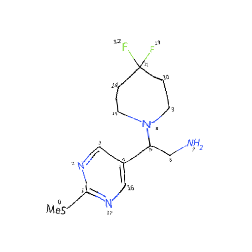 CSc1ncc(C(CN)N2CCC(F)(F)CC2)cn1